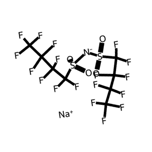 O=S(=O)([N-]S(=O)(=O)C(F)(F)C(F)(F)C(F)(F)C(F)(F)F)C(F)(F)C(F)(F)C(F)(F)C(F)(F)F.[Na+]